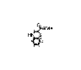 CNC(=O)[C@@H]1CNc2ccccc2S1